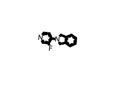 Fc1cnccc1N1Cc2ccccc2C1